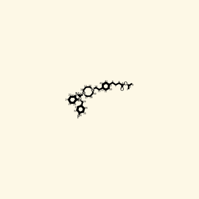 CC(C)OC(=O)CCCc1ccc(CCN2CCCN(c3nc4ccccc4n3Cc3ccc(F)cc3)CCC2)cc1